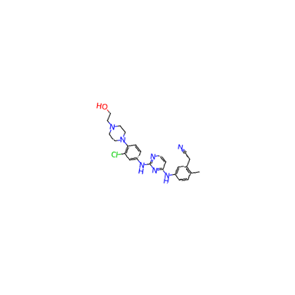 Cc1ccc(Nc2ccnc(Nc3ccc(N4CCN(CCO)CC4)c(Cl)c3)n2)cc1CC#N